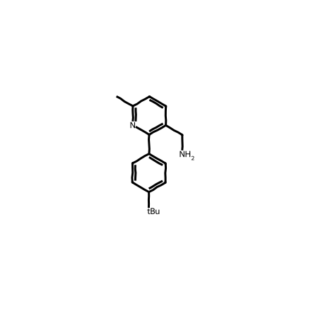 Cc1ccc(CN)c(-c2ccc(C(C)(C)C)cc2)n1